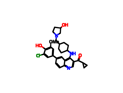 COc1cc(-c2ccc3ncc(C(=O)C4CC4)c(NC4CCC(CN5CCC(O)C5)CC4)c3c2)cc(Cl)c1O